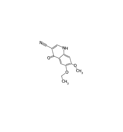 CCOc1cc2c(=O)c(C#N)c[nH]c2cc1OC